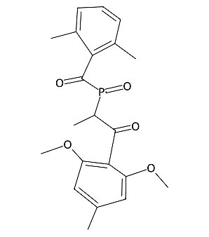 COc1cc(C)cc(OC)c1C(=O)C(C)[P](=O)C(=O)c1c(C)cccc1C